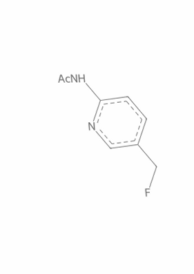 CC(=O)Nc1ccc(CF)cn1